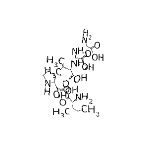 CC(C)[C@H](N)C(=O)O.CC[C@H](C)[C@H](N)C(=O)O.NCC(=O)O.NCC(=O)O.O=C(O)[C@@H]1CCCN1